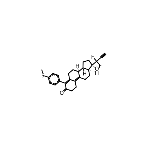 C#CC(F)(F)[C@]1(O)CC[C@H]2[C@@H]3CCC4=C(c5ccc(SC)cc5)C(=O)CCC4=C3CC[C@@]21C